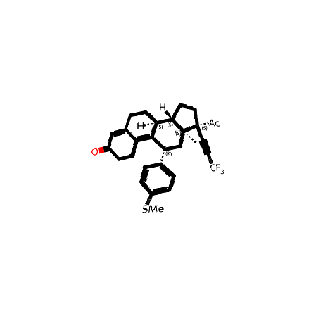 CSc1ccc([C@H]2C[C@@]3(C)[C@@H](CC[C@]3(C#CC(F)(F)F)C(C)=O)[C@@H]3CCC4=CC(=O)CCC4=C32)cc1